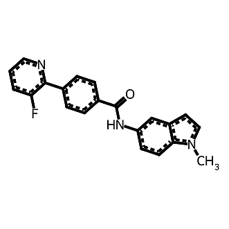 Cn1ccc2cc(NC(=O)c3ccc(-c4ncccc4F)cc3)ccc21